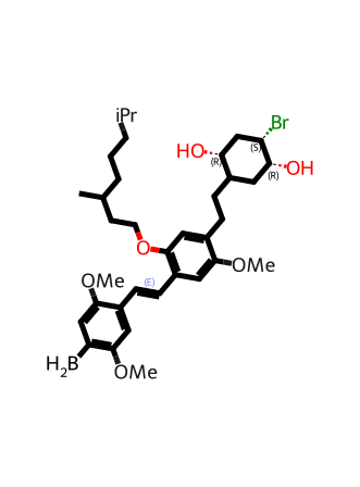 Bc1cc(OC)c(/C=C/c2cc(OC)c(CCC3C[C@@H](O)[C@@H](Br)C[C@H]3O)cc2OCCC(C)CCCC(C)C)cc1OC